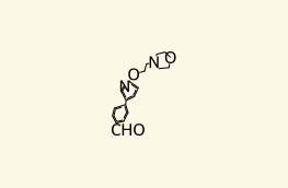 O=Cc1ccc(-c2ccc(OCCN3CCOCC3)nc2)cc1